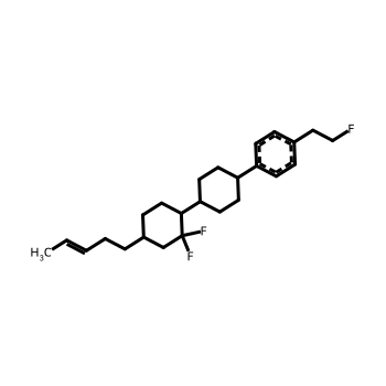 C/C=C/CCC1CCC(C2CCC(c3ccc(CCF)cc3)CC2)C(F)(F)C1